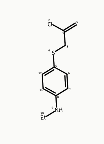 C=C(Cl)CSc1ccc(NCC)cc1